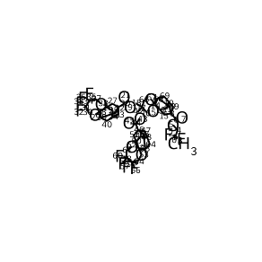 CC(F)(F)COC(=O)C12CC3CC(C1)C1(OCC(COC(=O)C45CC6CC(C4)C4(OCC(F)(F)C(F)(F)CO4)C(C6)C5)(COC(=O)C45CC6CC(C4)C4(OCC(F)(F)C(F)(F)CO4)C(C6)C5)CO1)C(C3)C2